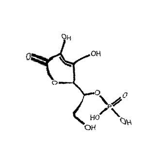 O=C1O[C@H]([C@H](CO)OP(=O)(O)O)C(O)=C1O